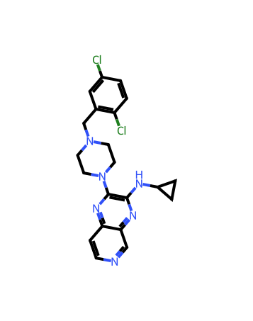 Clc1ccc(Cl)c(CN2CCN(c3nc4ccncc4nc3NC3CC3)CC2)c1